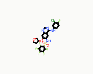 O=S(=O)(Nc1cc2c(Nc3ccc(F)c(Cl)c3)ncnc2cc1OC1CCOC1)c1c(F)c(F)c(F)c(F)c1F